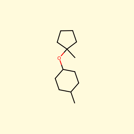 CC1CCC(OC2(C)CCCC2)CC1